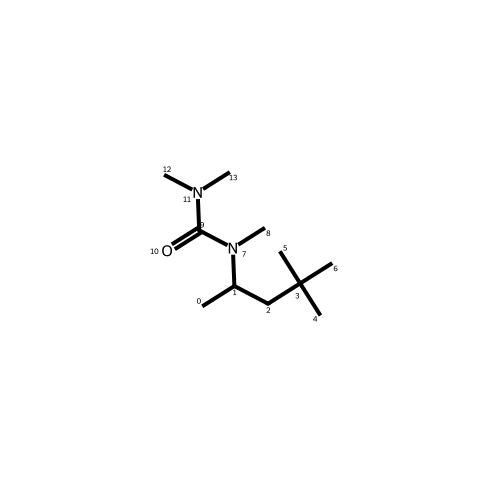 CC(CC(C)(C)C)N(C)C(=O)N(C)C